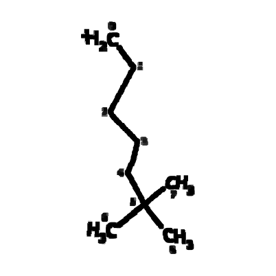 [CH2]CCCCC(C)(C)C